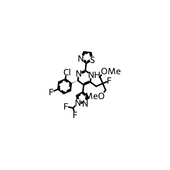 COCC(F)(COC)CC1=C(c2cnn(C(F)F)c2)[C@H](c2ccc(F)cc2Cl)N=C(c2nccs2)N1